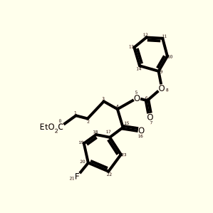 CCOC(=O)CCCC(OC(=O)Oc1ccccc1)C(=O)c1ccc(F)cc1